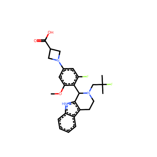 COc1cc(N2CC(C(=O)O)C2)cc(F)c1C1c2[nH]c3ccccc3c2CCN1CC(C)(C)F